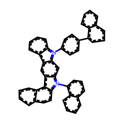 c1ccc2c(-c3ccc(-n4c5ccccc5c5cc6c7c8ccccc8ccc7n(-c7cccc8ccccc78)c6cc54)cc3)cccc2c1